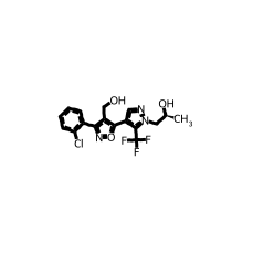 C[C@H](O)Cn1ncc(-c2onc(-c3ccccc3Cl)c2CO)c1C(F)(F)F